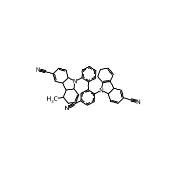 CC1CC=CC2C1C1C=C(C#N)C=CC1N2c1ccccc1-c1cc(C#N)ccc1N1C2=C(C=CCC2)C2C=C(C#N)C=CC21